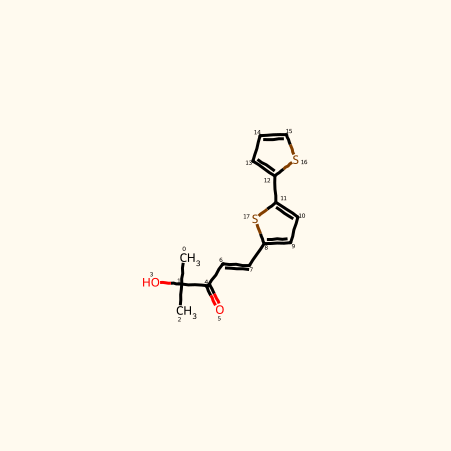 CC(C)(O)C(=O)C=Cc1ccc(-c2cccs2)s1